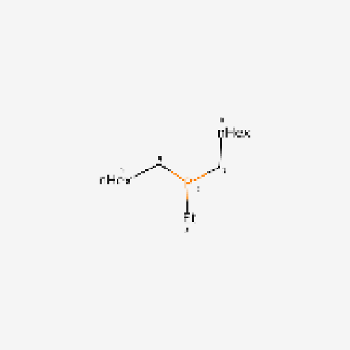 CCCCCCCP(CC)CCCCCCC